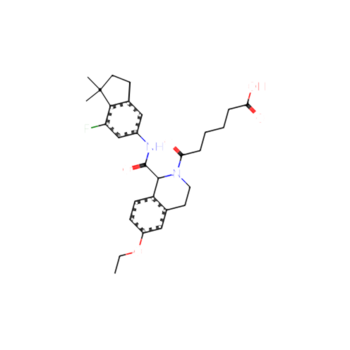 CCOc1ccc2c(c1)CCN(C(=O)CCCCC(=O)O)C2C(=O)Nc1cc(F)c2c(c1)CCC2(C)C